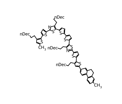 CCCCCCCCCCCCc1cc(C)sc1-c1ccc(-c2nc(CCCCCCCCCCCC)c(-c3ccc(-c4ccc(-c5sc(-c6ccc(-c7sc(-c8ccc9c(c8)CCc8cc(C)ccc8-9)cc7CCCCCCCCCCCC)s6)nc5CCCCCCCCCCCC)s4)s3)s2)s1